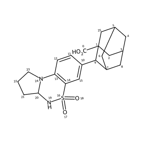 O=C(O)C12CC3CC(CC(C3)C1c1ccc3c(c1)S(=O)(=O)NC1CCCN31)C2